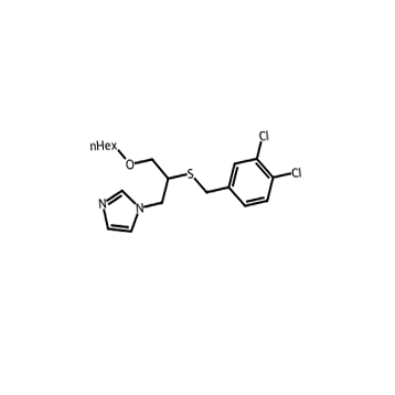 CCCCCCOCC(Cn1ccnc1)SCc1ccc(Cl)c(Cl)c1